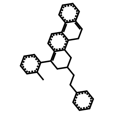 Cc1ccccc1C1=c2ccc3c(c2CC(CCc2ccccc2)C1)CC=c1ccccc1=3